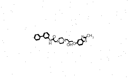 Cc1nc2cc(OC[C@@H](O)CN3CCN(CC(=O)Nc4cccc(-c5ccccc5)c4)CC3)ccc2s1